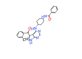 Cc1ccccc1C(=O)c1c[nH]c2ncnc(NC3CCC(NC(=O)c4ccccc4)CC3)c12